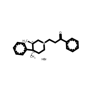 Br.C[C@H]1CN(CCC(=O)c2ccccc2)CC[C@@]1(C)c1ccccc1